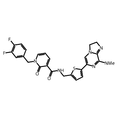 CNC1=NC(c2ccc(CNC(=O)c3cccn(Cc4ccc(F)c(F)c4)c3=O)s2)=CN2CCN=C12